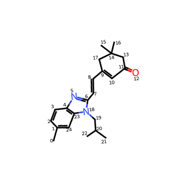 Cc1ccc2nc(/C=C/C3=CC(=O)CC(C)(C)C3)n(CC(C)C)c2c1